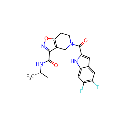 C[C@@H](NC(=O)c1noc2c1CN(C(=O)c1cc3cc(F)c(F)cc3[nH]1)CC2)C(F)(F)F